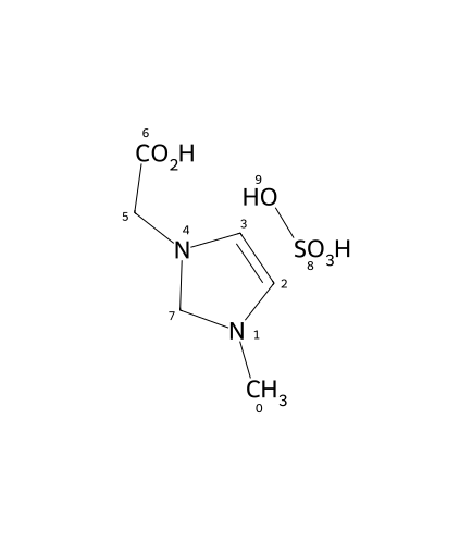 CN1C=CN(CC(=O)O)C1.O=S(=O)(O)O